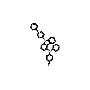 Fc1ccc(N(c2ccccc2)c2cccc3c2c2ccccc2n3-c2ccc(-c3ccccc3)cc2)cc1